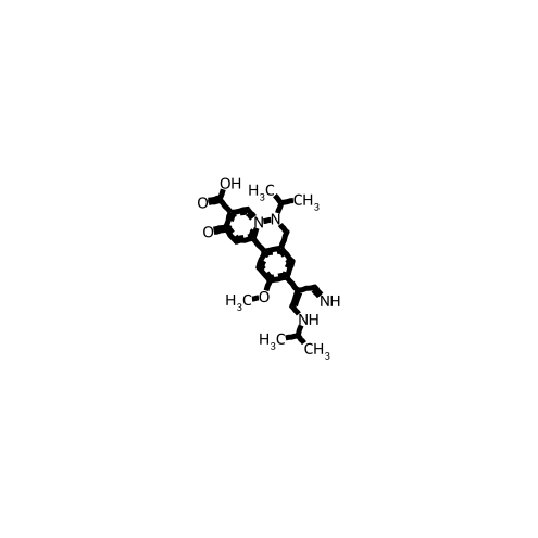 COc1cc2c(cc1/C(C=N)=C/NC(C)C)CN(C(C)C)n1cc(C(=O)O)c(=O)cc1-2